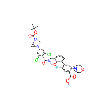 COC(=O)c1cc(F)c(-c2cccc3c2OCN(C(=O)c2c(Cl)cc(N4CCN(C(=O)OC(C)(C)C)C5CC54)cc2Cl)C3)cc1N1C2CCC1COC2